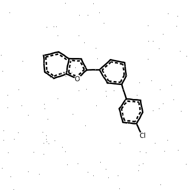 Clc1ccc(-c2cccc(-c3cc4ccccc4o3)c2)cc1